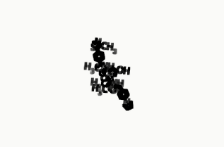 Cc1ncsc1-c1ccc([C@H](C)NC(=O)[C@@H]2C[C@@H](O)CN2C(=O)C(NC(=O)Cc2ccc(N3CCCC3)cc2)C(C)(C)C)cc1